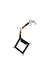 CSC1=CC[CH]1